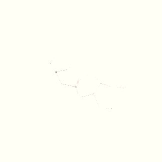 CCCCCCC(OC(=O)CC(CC(=O)O)(C(C)=O)C(=O)O)C(CCCC)CCCCC